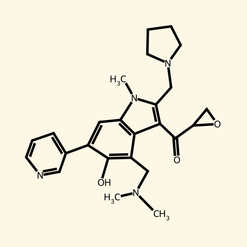 CN(C)Cc1c(O)c(-c2cccnc2)cc2c1c(C(=O)C1CO1)c(CN1CCCC1)n2C